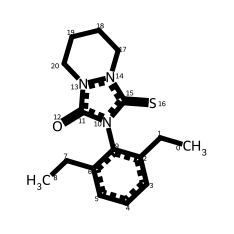 CCc1cccc(CC)c1-n1c(=O)n2n(c1=S)CCCC2